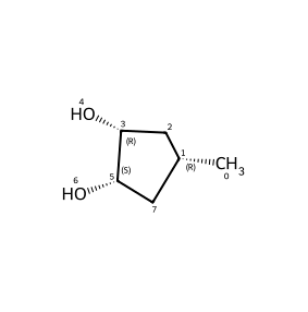 C[C@H]1C[C@@H](O)[C@@H](O)C1